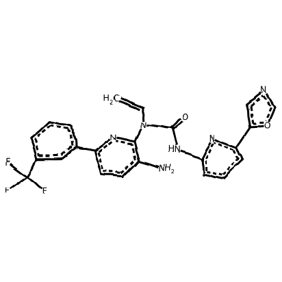 C=CN(C(=O)Nc1cccc(-c2cnco2)n1)c1nc(-c2cccc(C(F)(F)F)c2)ccc1N